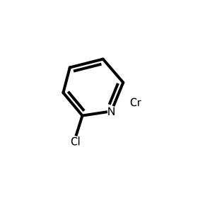 Clc1ccccn1.[Cr]